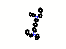 c1ccc(-c2cccc(N(c3ccc(-c4ccc(-c5ccc(N(c6cccc(-c7ccccc7)c6)c6ccc7ccccc7c6)cc5)cc4)cc3)c3ccc4ccccc4c3)c2)cc1